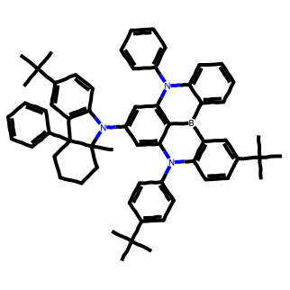 CC(C)(C)c1ccc(N2c3ccc(C(C)(C)C)cc3B3c4ccccc4N(c4ccccc4)c4cc(N5c6ccc(C(C)(C)C)cc6C6(c7ccccc7)CCCCC56C)cc2c43)cc1